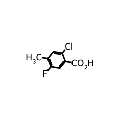 Cc1cc(Cl)c(C(=O)O)cc1F